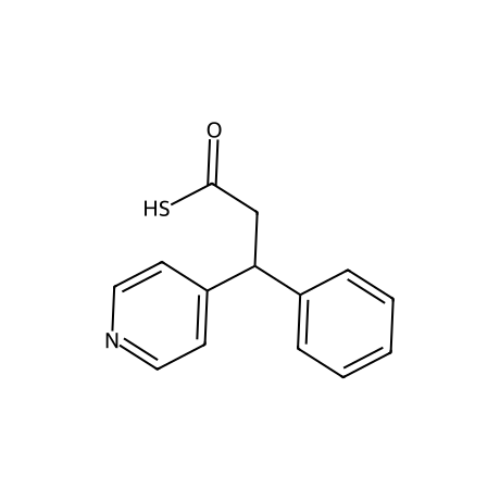 O=C(S)CC(c1ccccc1)c1ccncc1